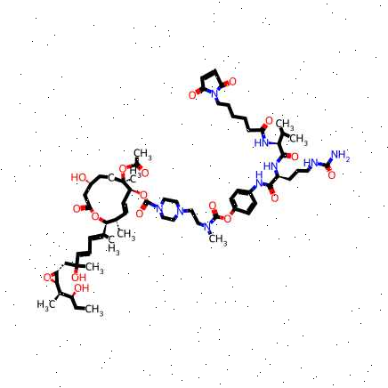 CC[C@H](O)[C@@H](C)[C@H]1O[C@@H]1CC(C)(O)/C=C/C=C(\C)[C@H]1OC(=O)C[C@H](O)CC[C@@](C)(OC(C)=O)[C@@H](OC(=O)N2CCN(CCN(C)C(=O)Oc3ccc(NC(=O)[C@H](CCCNC(N)=O)NC(=O)[C@@H](NC(=O)CCCCCN4C(=O)C=CC4=O)C(C)C)cc3)CC2)/C=C/[C@@H]1C